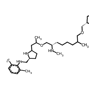 CN[C@@H](CCCCC(C)COC[C@@H]1CCCN1)COC(C)CC1CC[C@@H](CNc2c(C)cccc2C)N1